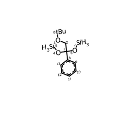 CC(C)(C)OCC(O[SiH3])(O[SiH3])c1ccccc1